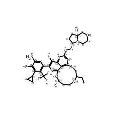 CCC1CNc2nc(OC[C@@H]3CC[C@H]4COCCN43)nc3c(F)c(-c4cc(N)c(F)c(C5CC5)c4C(F)(F)F)nc(c23)O[C@@H](C)CCN1